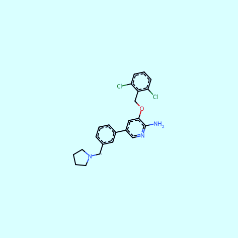 Nc1ncc(-c2cccc([CH]N3CCCC3)c2)cc1OCc1c(Cl)cccc1Cl